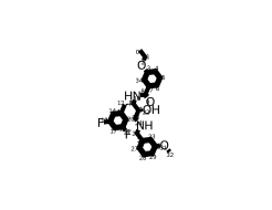 CCOc1cccc(C(=O)N[C@@H](Cc2cc(F)cc(F)c2)[C@@H](O)CNCc2cccc(OC)c2)c1